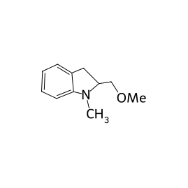 COCC1Cc2ccccc2N1C